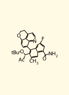 CC(=O)[C@@H](OC(C)(C)C)c1c(C)cc2c(C(N)=O)cc(F)cc2c1-c1ccc2c3c(ccnc13)CCO2